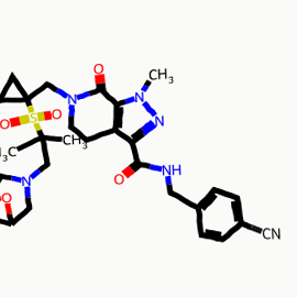 Cn1nc(C(=O)NCc2ccc(C#N)cc2)c2c1C(=O)N(CC1(S(=O)(=O)C(C)(C)CN3CC4CC(C3)O4)CC1)CC2